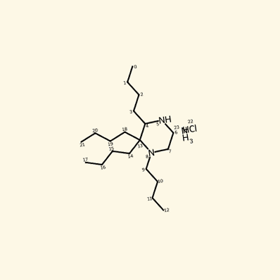 CCCCC1NCCN(CCCC)C1(CCCC)CCCC.Cl.N